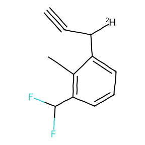 [2H]C(C#C)c1cccc(C(F)F)c1C